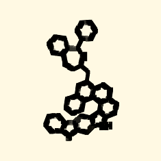 C1=CC(Cc2cc3ccccc3c3c2ccc2ccc4[nH]c5cc6sc7ccccc7c6cc5c4c23)=NC(c2ccccc2)=c2ccccc2=1